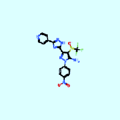 Nc1c([S+]([O-])C(F)(F)F)c(-c2nc(-c3ccncc3)n[nH]2)nn1-c1ccc([N+](=O)[O-])cc1